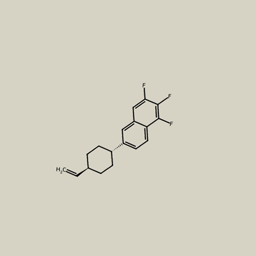 C=C[C@H]1CC[C@H](c2ccc3c(F)c(F)c(F)cc3c2)CC1